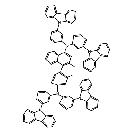 Cc1cc(N(c2cccc(-n3c4ccccc4c4ccccc43)c2)c2cccc(-n3c4ccccc4c4ccccc43)c2)ccc1-c1c(C)cc(N(c2cccc(-n3c4ccccc4c4ccccc43)c2)c2cccc(-n3c4ccccc4c4ccccc43)c2)c2ccccc12